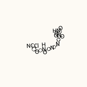 N#CC1=CCC=C(OC2CCC(NC(=O)c3ccc(N4CCC(CN5Cc6cc7c(cc6C5)C(=O)N(C5CCC(=O)NC5=O)C7=O)CC4)cc3)CC2)C=C1Cl